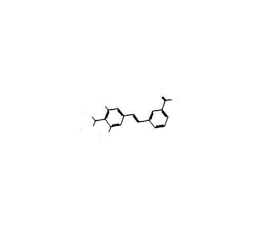 CC(C)c1c(O)cc(/C=C/c2cccc(C(=O)O)c2)cc1O